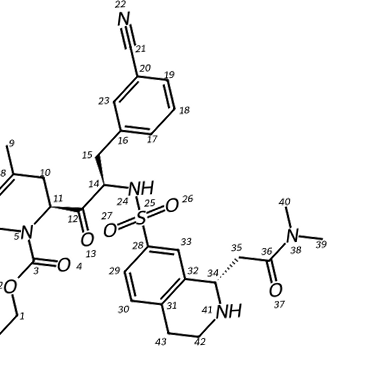 CCOC(=O)N1CC=C(C)C[C@H]1C(=O)[C@@H](Cc1cccc(C#N)c1)NS(=O)(=O)c1ccc2c(c1)[C@H](CC(=O)N(C)C)NCC2